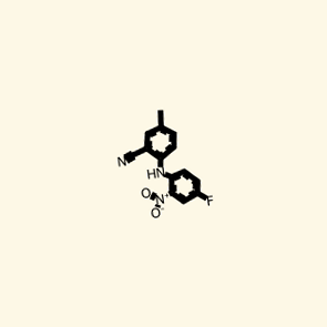 Cc1ccc(Nc2ccc(F)cc2[N+](=O)[O-])c(C#N)c1